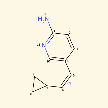 Nc1ccc(/C=C\C2CC2)cn1